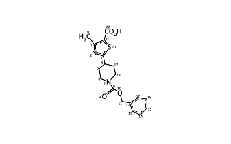 Cc1nc(C2CCN(C(=O)OCc3ccccc3)CC2)sc1C(=O)O